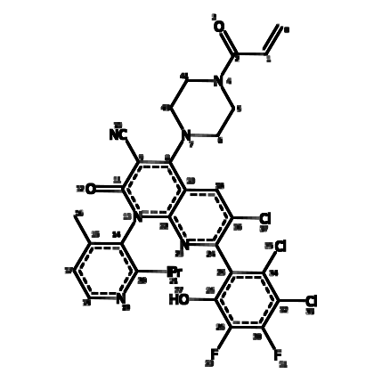 C=CC(=O)N1CCN(c2c(C#N)c(=O)n(-c3c(C)ccnc3C(C)C)c3nc(-c4c(O)c(F)c(F)c(Cl)c4Cl)c(Cl)cc23)CC1